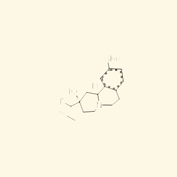 CCCCc1ccc2c(c1)[C@@H]1C[C@@](O)(C[18F])[C@@H](CC(C)C)CN1CC2